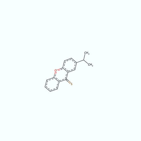 CC(C)c1ccc2oc3ccccc3c(=S)c2c1